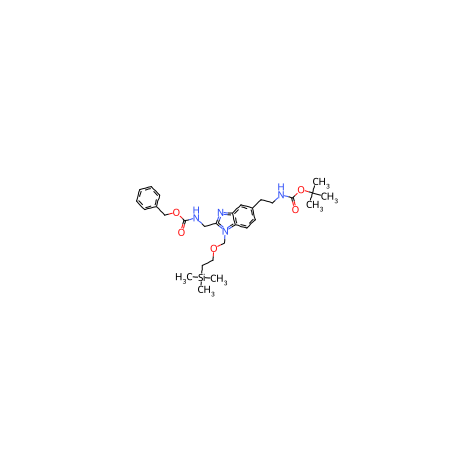 CC(C)(C)OC(=O)NCCc1ccc2c(c1)nc(CNC(=O)OCc1ccccc1)n2COCC[Si](C)(C)C